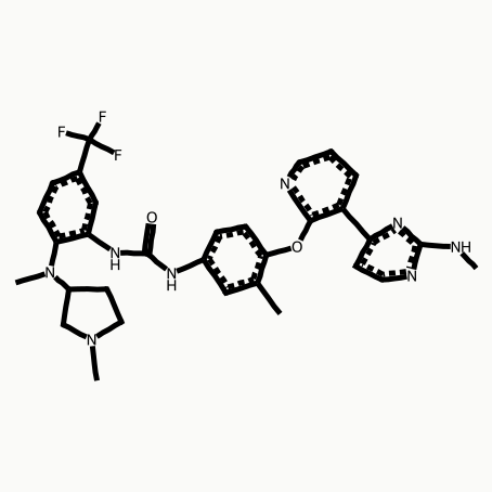 CNc1nccc(-c2cccnc2Oc2ccc(NC(=O)Nc3cc(C(F)(F)F)ccc3N(C)C3CCN(C)C3)cc2C)n1